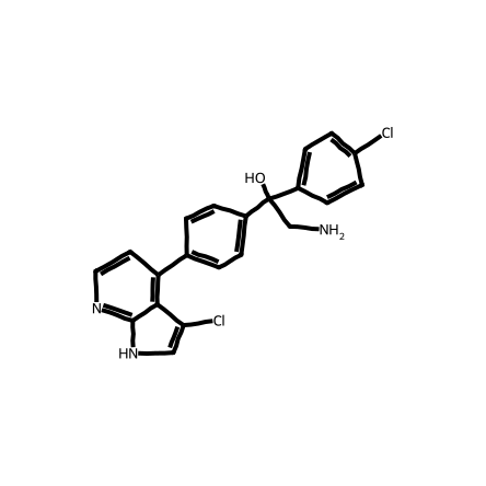 NCC(O)(c1ccc(Cl)cc1)c1ccc(-c2ccnc3[nH]cc(Cl)c23)cc1